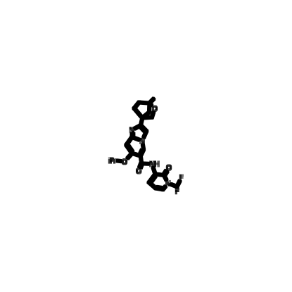 CC(C)Oc1cc2nc(C34CCC(C)(C3)OC4)cn2cc1C(=O)Nc1cccn(C(F)F)c1=O